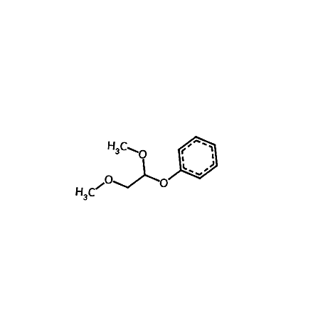 COCC(OC)Oc1ccccc1